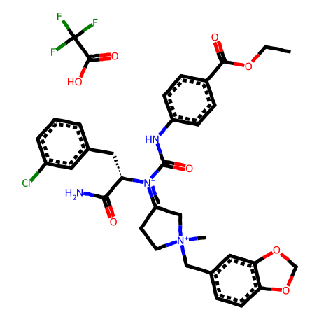 CCOC(=O)c1ccc(NC(=O)/[N+](=C2/CC[N+](C)(Cc3ccc4c(c3)OCO4)C2)[C@@H](Cc2cccc(Cl)c2)C(N)=O)cc1.O=C(O)C(F)(F)F